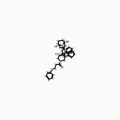 Cc1nc2ccccc2n1C1C[C@H]2CC[C@@H](C1)N2CCC1(c2ccccc2)CCN(C(=O)CCOc2ccccc2)CC1